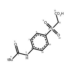 CC(C)(C)C(=O)Nc1ccc(S(=O)(=O)CC(=O)O)cc1